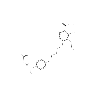 CCCc1c(OCCCOc2ccc(C(O)C(C)(C)CC(=O)O)cc2)cc(Cl)c(C(C)=O)c1O